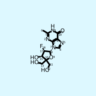 Cc1nc2c(ncn2[C@@H]2OC(CO)(CO)[C@@H](O)[C@H]2F)c(=O)[nH]1